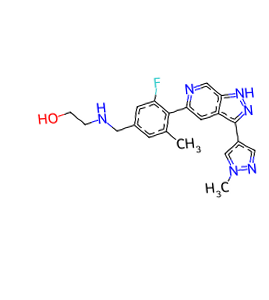 Cc1cc(CNCCO)cc(F)c1-c1cc2c(-c3cnn(C)c3)n[nH]c2cn1